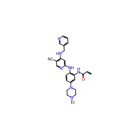 C=CC(=O)Nc1cc(N2CCN(CC)CC2)ccc1Nc1cc(NCc2cccnc2)c(C#N)cn1